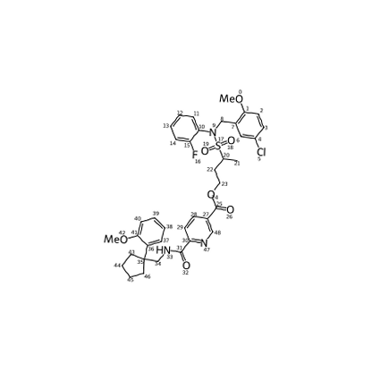 COc1ccc(Cl)cc1CN(c1ccccc1F)S(=O)(=O)C(C)CCOC(=O)c1ccc(C(=O)NCC2(c3ccccc3OC)CCCC2)nc1